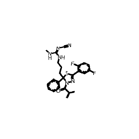 CN/C(=N/C#N)NCCCC1(c2ccccc2)SC(c2cc(F)ccc2F)=NN1C(=O)C(C)C